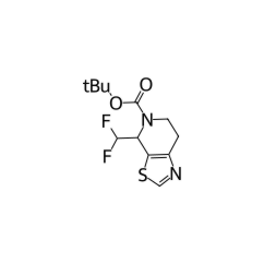 CC(C)(C)OC(=O)N1CCc2ncsc2C1C(F)F